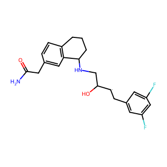 NC(=O)Cc1ccc2c(c1)C(NCC(O)[CH]Cc1cc(F)cc(F)c1)CCC2